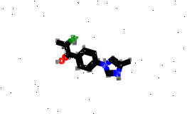 Cc1cn(-c2ccc(C(=O)C(C)Br)cc2)cn1